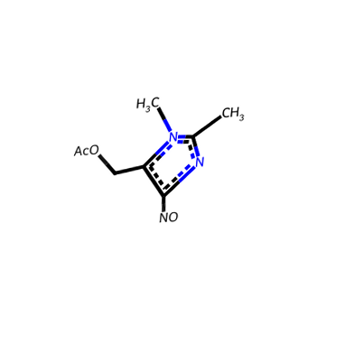 CC(=O)OCc1c(N=O)nc(C)n1C